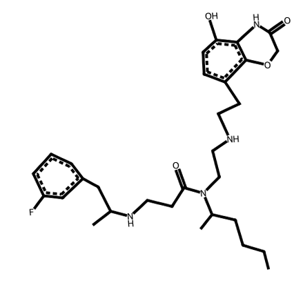 CCCCC(C)N(CCNCCc1ccc(O)c2c1OCC(=O)N2)C(=O)CCNC(C)Cc1cccc(F)c1